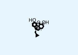 C[C@@]12CC[C@H](O)C3Oc4c(O)ccc5c4[C@@]31CCN(CC1CC1)C2C5